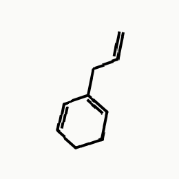 C=CCC1=CCCC=C1